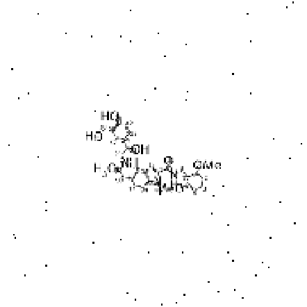 COc1cccc(OC)c1CNC(=O)c1cc2cc(C[C@@H](C)NCC(O)c3ccc(O)c(CO)c3)ccc2[nH]1